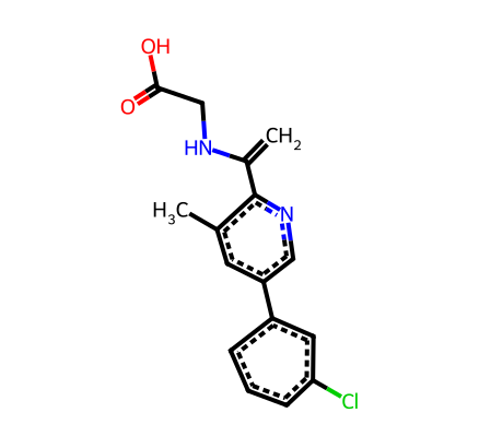 C=C(NCC(=O)O)c1ncc(-c2cccc(Cl)c2)cc1C